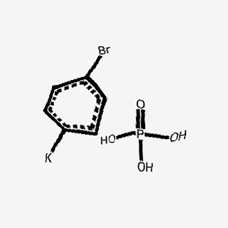 O=P(O)(O)O.[K][c]1ccc(Br)cc1